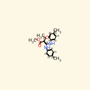 COC(=O)C(C(C)=O)=C(Nc1ccc(C)cc1)Nc1ccc(C)cc1